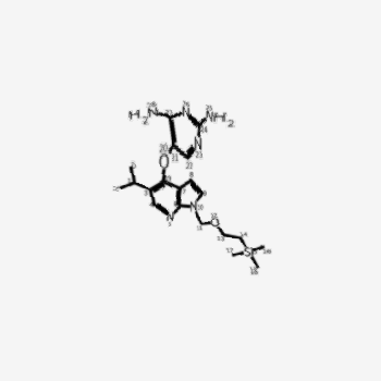 CC(C)c1cnc2c(ccn2COCC[Si](C)(C)C)c1Oc1cnc(N)nc1N